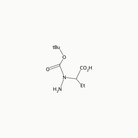 CCC(C(=O)O)N(N)C(=O)OC(C)(C)C